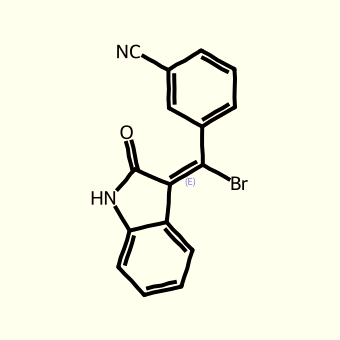 N#Cc1cccc(/C(Br)=C2\C(=O)Nc3ccccc32)c1